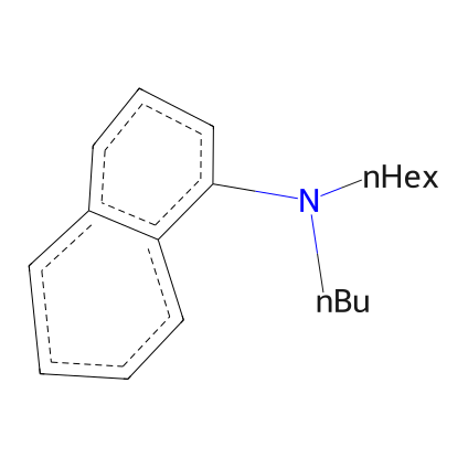 CCCCCCN(CCCC)c1cccc2ccccc12